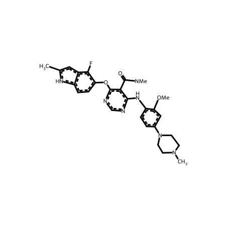 CNC(=O)c1c(Nc2ccc(N3CCN(C)CC3)cc2OC)ncnc1Oc1ccc2[nH]c(C)cc2c1F